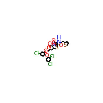 O=C(Cc1cccs1)NC1C(=O)N2C(C(=O)O)C(CC=COc3cc(Cl)ccc3Oc3ccc(Cl)cc3Cl)=CS[C@@H]12